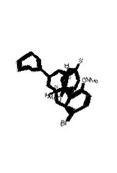 COc1ccc(Br)c2c1C13c4c(OC)ccc(Br)c4C[C@@H]1CC(c1ccccc1)C[C@H]3C2